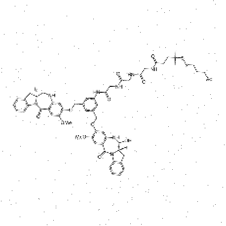 COc1cc2c(cc1OCc1cc(COc3cc4c(cc3OC)C(=O)N3c5ccccc5C[C@H]3C(O)N4)cc(NC(=O)CNC(=O)CNC(=O)CNC(=O)CCC(C)(C)SSCCCC(C)=O)c1)NC[C@@H]1Cc3ccccc3N1C2=O